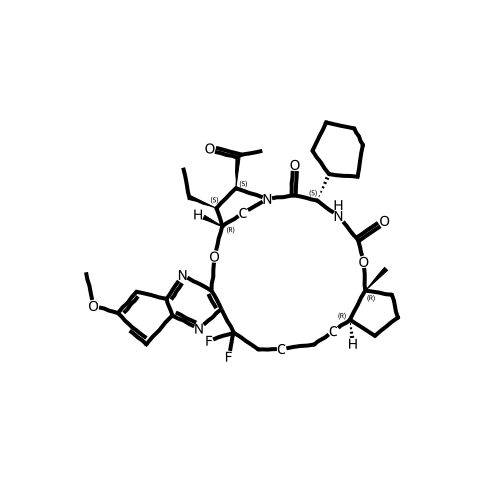 CC[C@@H]1[C@@H]2CN(C(=O)[C@H](C3CCCCC3)NC(=O)O[C@]3(C)CCC[C@H]3CCCCC(F)(F)c3nc4ccc(OC)cc4nc3O2)[C@@H]1C(C)=O